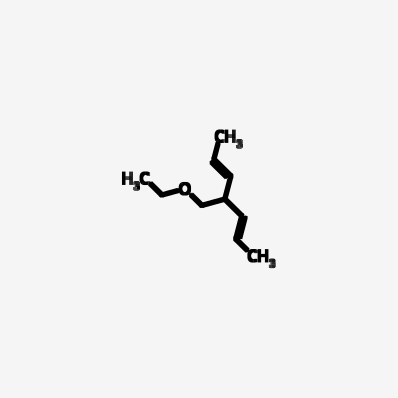 CC=CC(C=CC)COCC